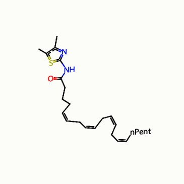 CCCCC/C=C\C/C=C\C/C=C\C/C=C\CCCC(=O)Nc1nc(C)c(C)s1